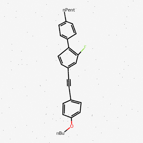 CCCCCc1ccc(-c2ccc(C#Cc3ccc(OCCCC)cc3)cc2F)cc1